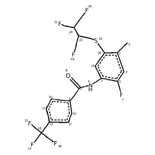 Cc1cc(F)c(NC(=O)c2ccc(C(F)(F)F)cc2)cc1SC(F)C(F)F